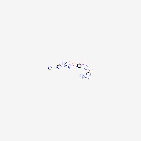 Cn1c(-c2cn(-c3ccc(NC[C@@H]4CCCN4)cn3)nc2C(F)(F)F)cnc1C(=O)Nc1ccc(C(=O)N2CCN(C(=O)C3CC[N+](CC(=O)O)(CC4CNC4)CC3)CC2)c(Cl)c1